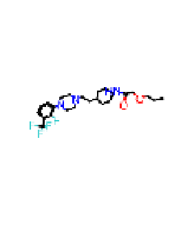 CCCOCC(=O)NC1CCC(CCN2CCN(c3cccc(C(F)(F)F)c3F)CC2)CC1